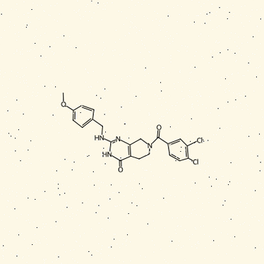 COc1ccc(CNc2nc3c(c(=O)[nH]2)CCN(C(=O)c2ccc(Cl)c(Cl)c2)C3)cc1